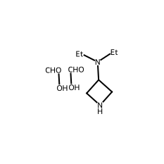 CCN(CC)C1CNC1.O=CO.O=CO